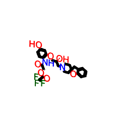 O=C(COC(=O)C(F)(F)F)Nc1ccc(O)cc1OC[C@H](O)CN1CCC2(CC1)Cc1ccccc1O2